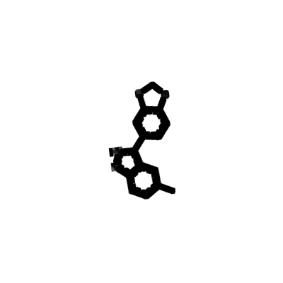 Cc1ccc2n[nH]c(-c3ccc4c(c3)OCO4)c2c1